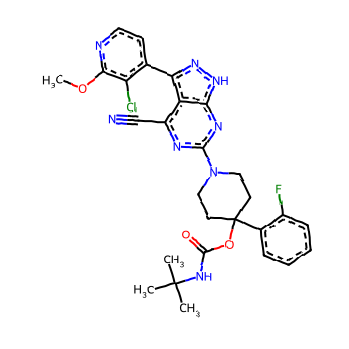 COc1nccc(-c2n[nH]c3nc(N4CCC(OC(=O)NC(C)(C)C)(c5ccccc5F)CC4)nc(C#N)c23)c1Cl